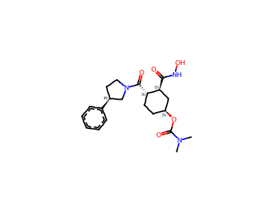 CN(C)C(=O)O[C@H]1CC[C@H](C(=O)N2CC[C@H](c3ccccc3)C2)[C@@H](C(=O)NO)C1